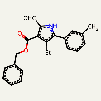 CCc1c(-c2cccc(C)c2)[nH]c(C=O)c1C(=O)OCc1ccccc1